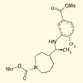 COC(=O)c1ccc(C(F)(F)F)c(N[C@@H](C)C2CCCN(C(=O)OC(C)(C)C)CC2)c1